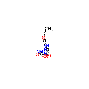 CCCCCCCOc1ccc(-c2cnc(-c3ccc(C[C@H](NC(=O)c4ccc(C(N)=O)cc4)C(=O)O)cc3)nc2)cc1